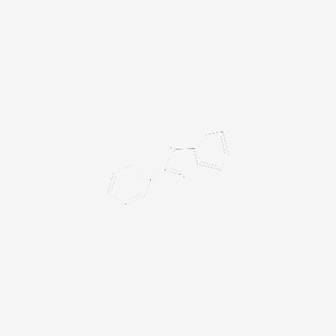 c1ccc(C2=Nc3ccccc3[N]2)cc1